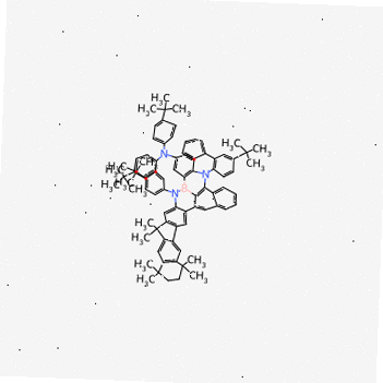 CC(C)(C)c1ccc(N2B3c4cc(N(c5ccc(C(C)(C)C)cc5)c5ccc(C(C)(C)C)cc5)ccc4N(c4ccc(C(C)(C)C)cc4-c4ccccc4)c4c3c(cc3ccccc43)-c3cc4c(cc32)C(C)(C)c2cc3c(cc2-4)C(C)(C)CCC3(C)C)cc1